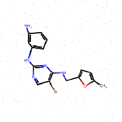 Cc1ccc(CNc2nc(Nc3cccc(N)c3)ncc2Br)o1